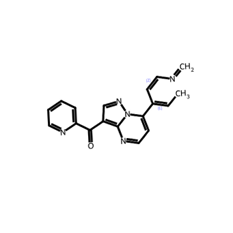 C=N/C=C\C(=C/C)c1ccnc2c(C(=O)c3ccccn3)cnn12